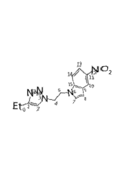 CCc1cn(CCn2ccc3cc([N+](=O)[O-])ccc32)nn1